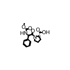 COC(=O)N[C@@H](C(=O)N1CCC[C@H]1C(=O)O)c1ccccc1